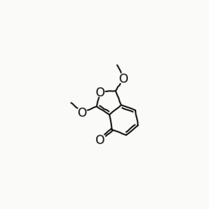 COC1=C2C(=O)C=CC=C2C(OC)O1